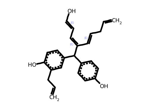 C=CC/C=C/C(=C\C=C\O)C(c1ccc(O)cc1)c1ccc(O)c(CC=C)c1